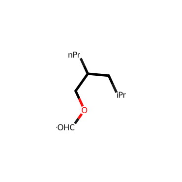 CCCC(CO[C]=O)CC(C)C